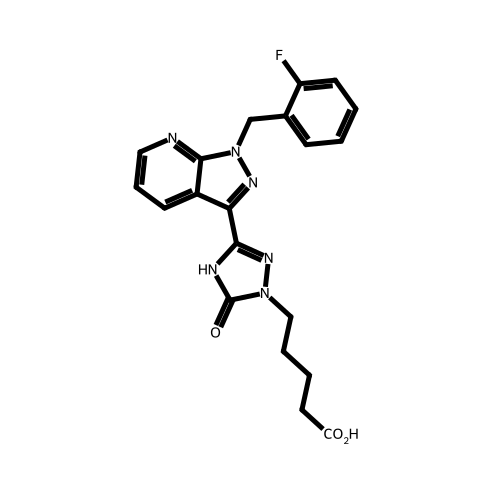 O=C(O)CCCCn1nc(-c2nn(Cc3ccccc3F)c3ncccc23)[nH]c1=O